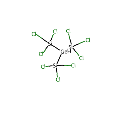 Cl[Si](Cl)(Cl)[GeH]([Si](Cl)(Cl)Cl)[Si](Cl)(Cl)Cl